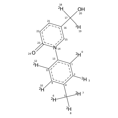 [2H]c1c([2H])c(C([2H])([2H])[2H])c([2H])c([2H])c1-n1cc(C([2H])([2H])O)ccc1=O